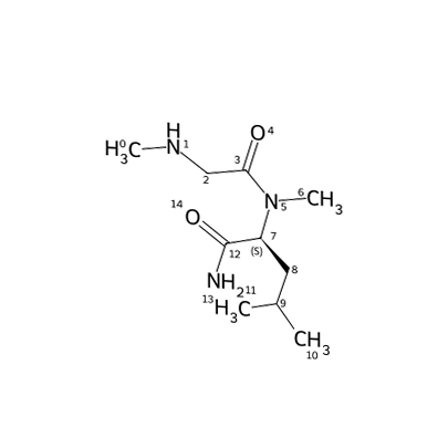 CNCC(=O)N(C)[C@@H](CC(C)C)C(N)=O